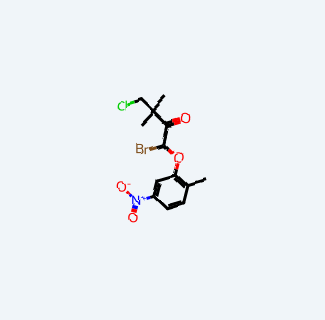 Cc1ccc([N+](=O)[O-])cc1OC(Br)C(=O)C(C)(C)CCl